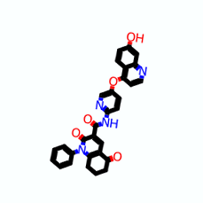 O=C1CCCc2c1cc(C(=O)Nc1ccc(Oc3ccnc4cc(O)ccc34)cn1)c(=O)n2-c1ccccc1